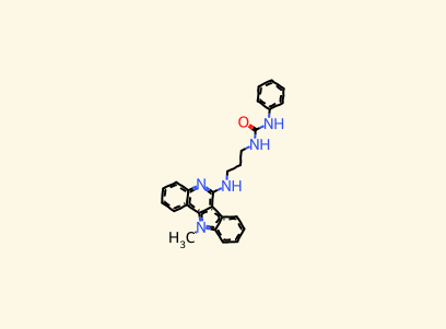 Cn1c2ccccc2c2c(NCCCNC(=O)Nc3ccccc3)nc3ccccc3c21